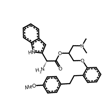 COc1ccc(CCc2ccccc2OCC(CN(C)C)OC(=O)[C@H](N)c2cc3ccccc3[nH]2)cc1